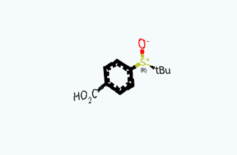 CC(C)(C)[S@+]([O-])c1ccc(C(=O)O)cc1